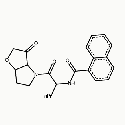 CCCC(NC(=O)c1cccc2ccccc12)C(=O)N1CCC2OCC(=O)C21